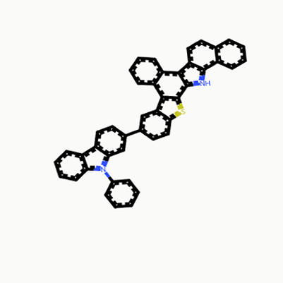 c1ccc(-n2c3ccccc3c3ccc(-c4ccc5sc6c7[nH]c8c9ccccc9ccc8c7c7ccccc7c6c5c4)cc32)cc1